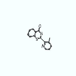 Cc1cccnc1-c1nc(=O)c2ccccc2s1